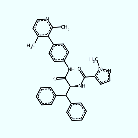 Cc1ccnc(C)c1-c1ccc(NC(=O)[C@@H](NC(=O)c2ccnn2C)C(c2ccccc2)c2ccccc2)cc1